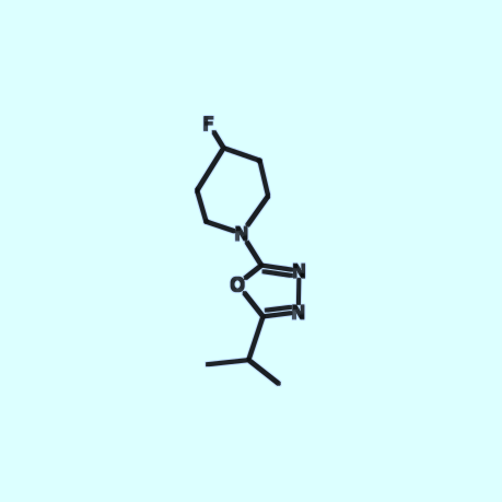 CC(C)c1nnc(N2CCC(F)CC2)o1